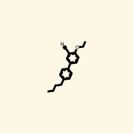 CCCCc1ccc(-c2ccc(OCC)c(C#N)c2)cc1